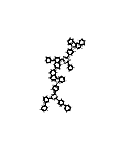 c1ccc(-c2ccc(-c3nc(-c4ccc(-n5c6ccccc6c6c7cc(-c8ccc9c(-c%10nc(-c%11ccccc%11)nc(-c%11ccc(-n%12c%13ccccc%13c%13c%14ccccc%14ccc%13%12)cc%11)n%10)ccc(-c%10ccccc%10)c9c8)ccc7ccc65)cc4)nc(-c4cccc(-c5ccccc5)c4)n3)cc2)cc1